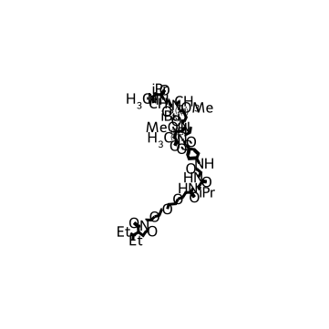 CCC(CC)C1CC(=O)N(CCOCCOCCOCCC(=O)NC(C(=O)NCC(=O)Nc2ccc(S(=O)(=O)NC(=O)[C@H](C)[C@@H](OC)[C@@H]3CCCN3C(=O)C[C@@H](OC)[C@H]([C@@H](C)CC)N(C)C(=O)CNC(=O)C(C(C)C)N(C)C)cc2)C(C)C)C1=O